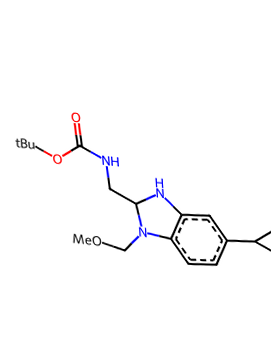 COCN1c2ccc(C3CC3)cc2NC1CNC(=O)OC(C)(C)C